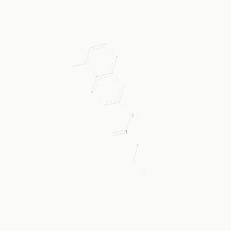 C=CCC(=O)Nc1ccc2c(O)cccc2c1